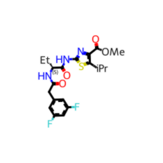 CC[C@H](NC(=O)Cc1cc(F)cc(F)c1)C(=O)Nc1nc(C(=O)OC)c(C(C)C)s1